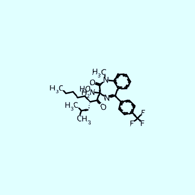 CCCC[C@H](O)[C@@H](CC(C)C)C(=O)C1(N)N=C(c2ccc(C(F)(F)F)cc2)c2ccccc2N(C)C1=O